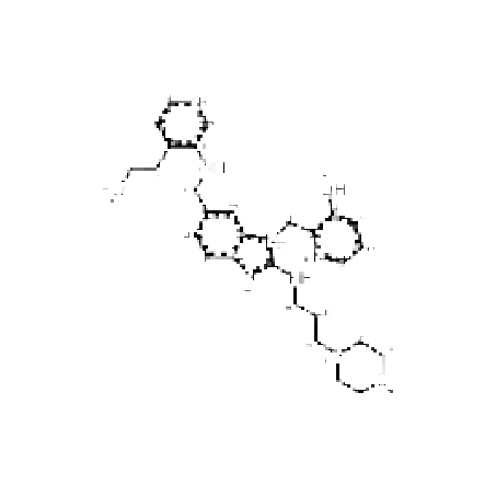 OCCc1ccncc1NCc1ccc2nc(NCCCN3CCOCC3)n(Cc3ncccc3O)c2c1